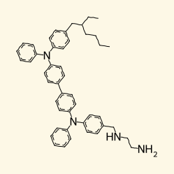 CCCCC(CC)Cc1ccc(N(c2ccccc2)c2ccc(-c3ccc(N(c4ccccc4)c4ccc(CNCCN)cc4)cc3)cc2)cc1